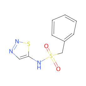 O=S(=O)(Cc1ccccc1)Nc1cnns1